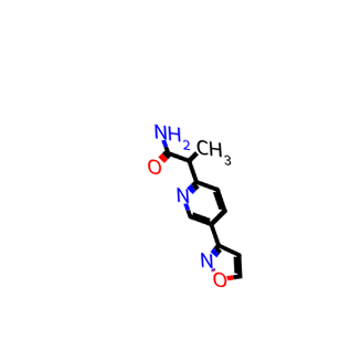 CC(C(N)=O)c1ccc(-c2ccon2)cn1